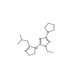 CCn1nc(N2CCCC2)nc1[SH]1CCN=C1CC(C)C